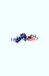 CC(C)c1c(OC[C@@H](C)O)cn2ncnc(Nc3cnc4[nH]ccc4c3)c12